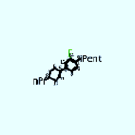 [CH2]CCC(C)c1ccc(C2CCC(CCC)CC2)cc1F